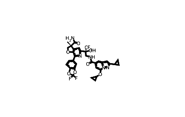 C[C@]1(C(N)=O)COc2c1cc([C@@](O)(CNC(=O)c1cc(OC3CC3)n3nc(C4CC4)cc3c1)C(F)(F)F)nc2-c1ccc2c(c1)OC(F)(F)O2